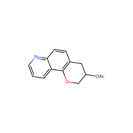 CC(=O)OC1COc2c(ccc3ncccc23)C1